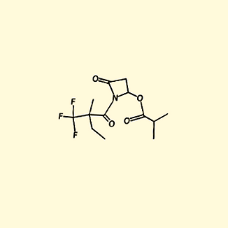 CCC(C)(C(=O)N1C(=O)CC1OC(=O)C(C)C)C(F)(F)F